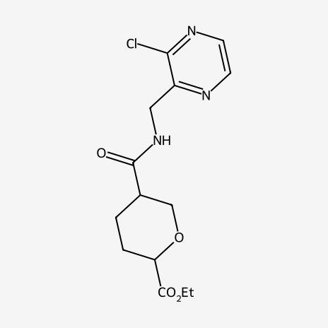 CCOC(=O)C1CCC(C(=O)NCc2nccnc2Cl)CO1